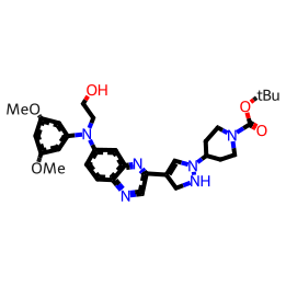 COc1cc(OC)cc(N(CCO)c2ccc3ncc(C4=CN(C5CCN(C(=O)OC(C)(C)C)CC5)NC4)nc3c2)c1